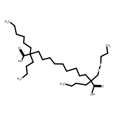 CCCCCCC(CCCC)(CCCCCCCCCC(CCCC)(CCCCCC)C(=O)O)C(=O)O